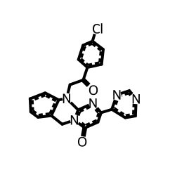 O=C(CN1c2ccccc2Cn2c1nc(-c1ccncn1)cc2=O)c1ccc(Cl)cc1